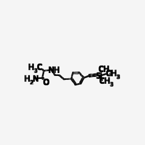 CC(NCCCc1ccc(C#C[Si](C)(C)C)cc1)C(N)=O